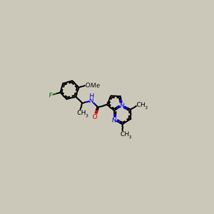 COc1ccc(F)cc1C(C)NC(=O)c1ccn2c(C)cc(C)nc12